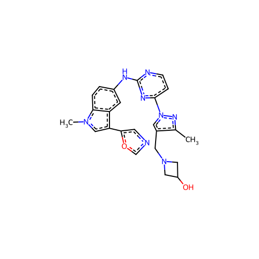 Cc1nn(-c2ccnc(Nc3ccc4c(c3)c(-c3cnco3)cn4C)n2)cc1CN1CC(O)C1